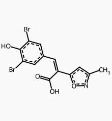 Cc1cc(C(=Cc2cc(Br)c(O)c(Br)c2)C(=O)O)on1